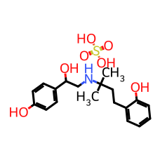 CC(C)(CCc1ccccc1O)NCC(O)c1ccc(O)cc1.O=S(=O)(O)O